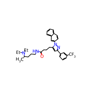 CCN(CC)C(C)CCCNC(=O)CCCc1cc(-c2cccc(C(F)(F)F)c2)nn1-c1ccc2ccccc2c1